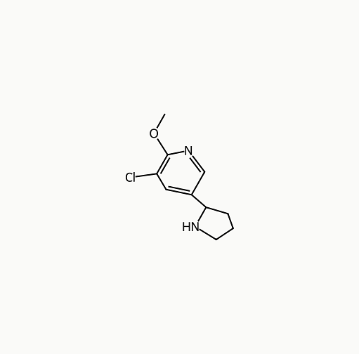 COc1ncc(C2CCCN2)cc1Cl